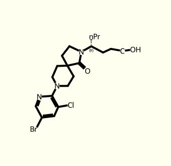 CCC[C@H](CCCO)N1CCC2(CCN(c3ncc(Br)cc3Cl)CC2)C1=O